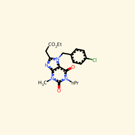 CCCn1c(=O)c2c(nc(CC(=O)OCC)n2Cc2ccc(Cl)cc2)n(C)c1=O